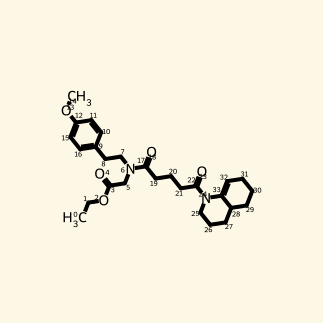 CCOC(=O)CN(CCc1ccc(OC)cc1)C(=O)CCCC(=O)N1CCCC2CCCC=C21